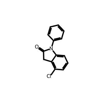 O=C1Cc2c(Cl)cccc2N1c1ccccc1